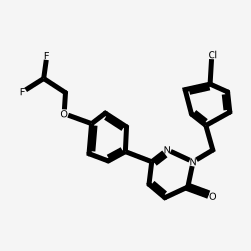 O=c1ccc(-c2ccc(OCC(F)F)cc2)nn1Cc1ccc(Cl)cc1